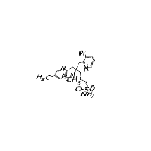 Cc1cnc(CC(N)(CCCS(N)(=O)=O)Cc2ncccc2C(C)C)c(C)c1